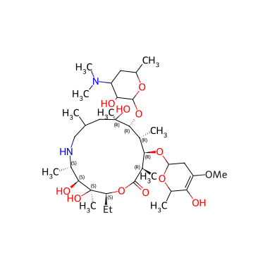 CC[C@@H]1OC(=O)[C@H](C)[C@H](OC2CC(OC)=C(O)C(C)O2)[C@@H](C)[C@@H](OC2OC(C)CC(N(C)C)C2O)[C@](C)(O)CC(C)CN[C@@H](C)[C@H](O)[C@]1(C)O